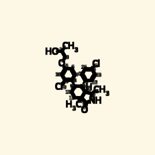 CC(O)COc1ccc([C@@H]2CC[C@@]3(C)C(=O)N[C@H](C)[C@H]3[C@H]2c2ccc(Cl)cc2)c(Cl)c1